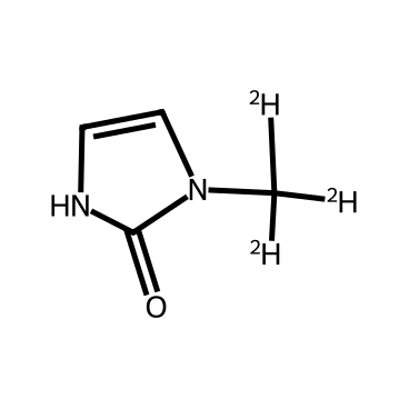 [2H]C([2H])([2H])n1cc[nH]c1=O